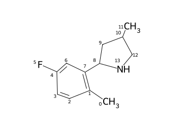 Cc1ccc(F)cc1C1CC(C)CN1